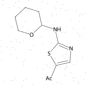 CC(=O)c1cnc(NC2CCCCO2)s1